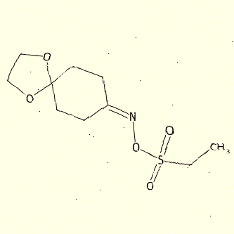 CCS(=O)(=O)ON=C1CCC2(CC1)OCCO2